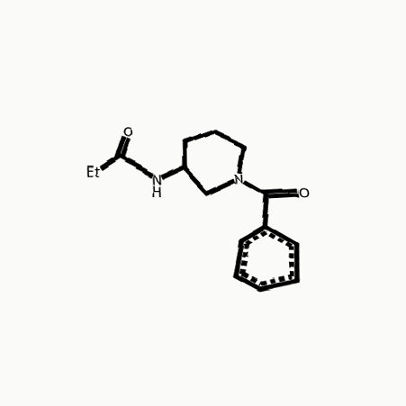 CCC(=O)NC1CCCN(C(=O)c2ccccc2)C1